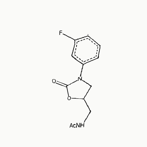 CC(=O)NCC1CN(c2cc[c]c(F)c2)C(=O)O1